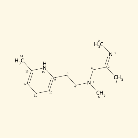 C/N=C(/C)CN(C)CCC1=CCC=C(C)N1